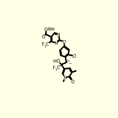 COC(=O)c1cnc(Oc2ccc([C@H](C)[C@](O)(c3cc(C)c(=O)n(C)c3)C(F)(F)F)c(Cl)c2)nc1C(F)(F)F